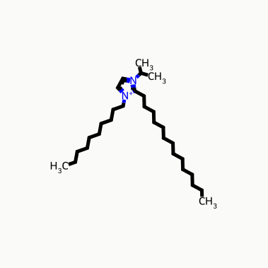 CCCCCCCCCCCCCCc1n(C(C)C)cc[n+]1CCCCCCCCCC